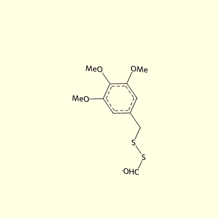 COc1cc(CSS[C]=O)cc(OC)c1OC